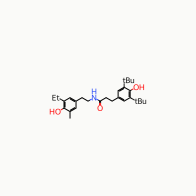 CCc1cc(CCNC(=O)CCc2cc(C(C)(C)C)c(O)c(C(C)(C)C)c2)cc(C)c1O